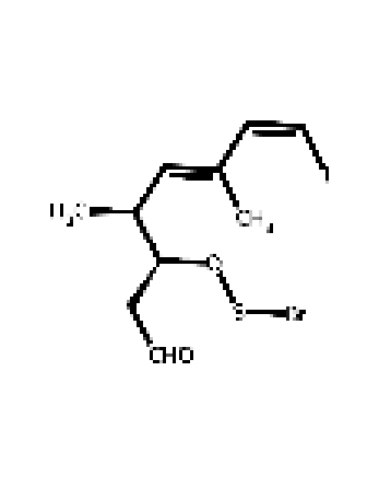 CC(/C=C\I)=C\[C@H](C)[C@H](CC=O)OSBr